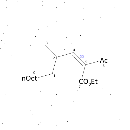 CCCCCCCCCC(C)/C=C(/C(C)=O)C(=O)OCC